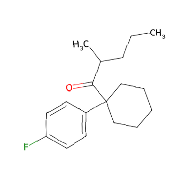 CCCC(C)C(=O)C1(c2ccc(F)cc2)CCCCC1